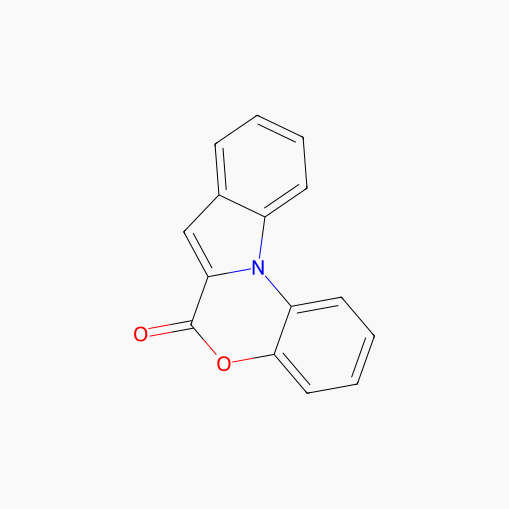 O=c1oc2ccccc2n2c1cc1ccccc12